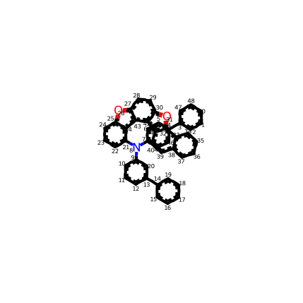 c1ccc(-c2ccc(N(c3cccc(-c4ccccc4)c3)c3cccc4oc5ccc6oc7c8ccccc8ccc7c6c5c34)cc2)cc1